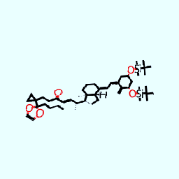 C=C1/C(=C\C=C2/CCC[C@]3(C)[C@@H]([C@H](C)/C=C/C(=O)CCC4(C5(CCCC)OCCO5)CC4)CC[C@@H]23)C[C@@H](O[Si](C)(C)C(C)(C)C)C[C@@H]1O[Si](C)(C)C(C)(C)C